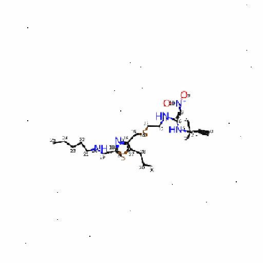 C#CC(C)(C)NC(=C[N+](=O)[O-])NCCSCc1nc(CNCCCCC)sc1CCC